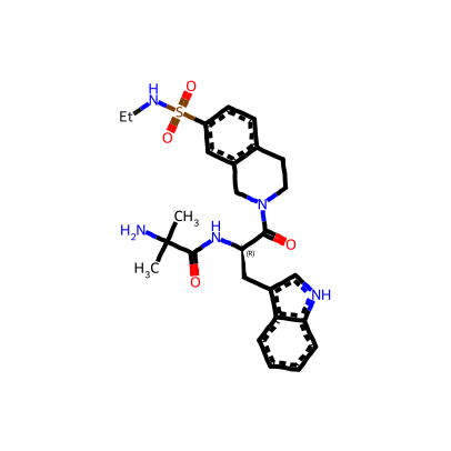 CCNS(=O)(=O)c1ccc2c(c1)CN(C(=O)[C@@H](Cc1c[nH]c3ccccc13)NC(=O)C(C)(C)N)CC2